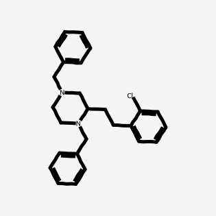 Clc1ccccc1CCC1CN(Cc2ccccc2)CCN1Cc1ccccc1